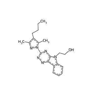 CCCCc1c(C)nn(-c2nnc3c4ccccc4n(CCO)c3n2)c1C